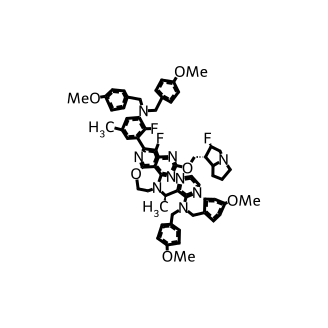 COc1ccc(CN(Cc2ccc(OC)cc2)c2cc(C)cc(-c3nc4c5c(nc(OC[C@H]6C7CCCN7C[C@@H]6F)nc5c3F)N([C@H](C)c3nccnc3N(Cc3ccc(OC)cc3)Cc3ccc(OC)cc3)CCO4)c2F)cc1